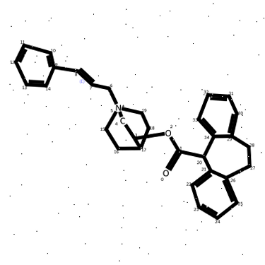 O=C(OC1C[N+]2(C/C=C/c3ccccc3)CCC1CC2)C1c2ccccc2CCc2ccccc21